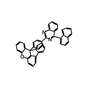 c1ccc2c(c1)Oc1cccc3c1C2(c1ccc(-c2nc(-c4cccc5ccccc45)c4ccccc4n2)cc1)c1ccccc1-3